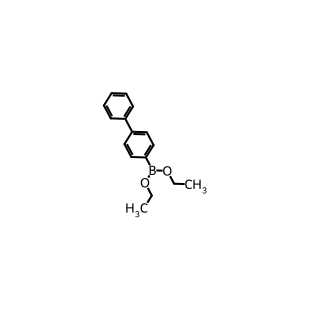 CCOB(OCC)c1ccc(-c2ccccc2)cc1